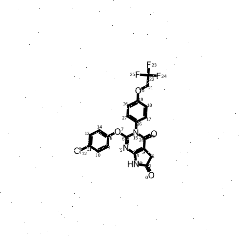 O=C1Cc2c(nc(Oc3ccc(Cl)cc3)n(-c3ccc(OCC(F)(F)F)cc3)c2=O)N1